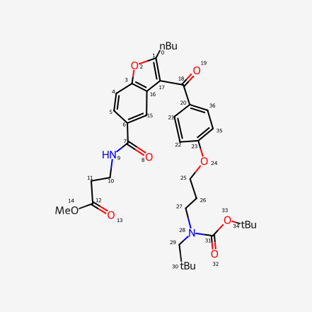 CCCCc1oc2ccc(C(=O)NCCC(=O)OC)cc2c1C(=O)c1ccc(OCCCN(CC(C)(C)C)C(=O)OC(C)(C)C)cc1